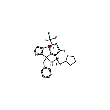 Cn1ccnc1C(Cc1ccccc1)(NC(=O)NC1CCCC1)c1cc(F)cc(C(F)(F)F)c1